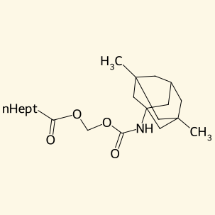 CCCCCCCC(=O)OCOC(=O)NC12CC3CC(C)(CC(C)(C3)C1)C2